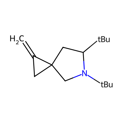 C=C1CC12CC(C(C)(C)C)N(C(C)(C)C)C2